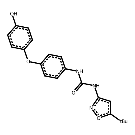 CC(C)(C)c1cc(NC(=O)Nc2ccc(Oc3ccc(O)cc3)cc2)no1